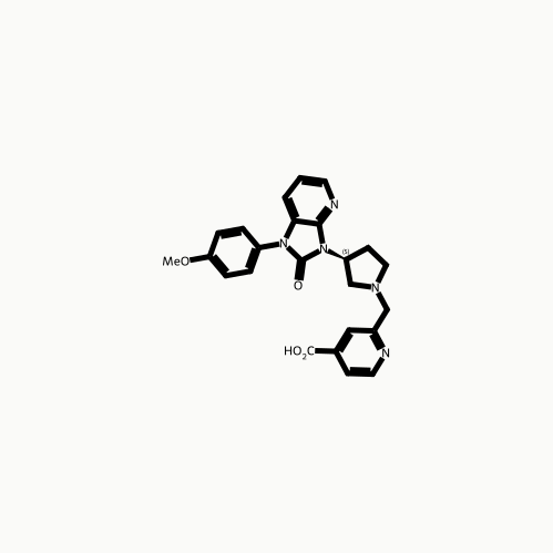 COc1ccc(-n2c(=O)n([C@H]3CCN(Cc4cc(C(=O)O)ccn4)C3)c3ncccc32)cc1